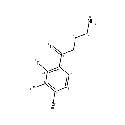 NCCCC(=O)c1ccc(Br)c(F)c1F